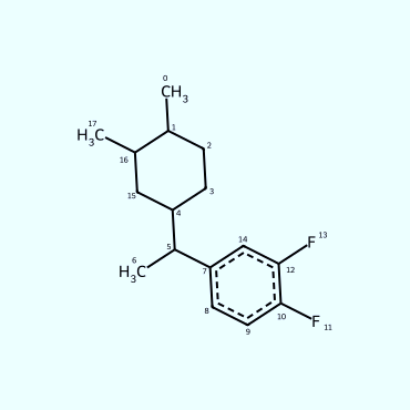 CC1CCC(C(C)c2ccc(F)c(F)c2)CC1C